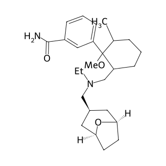 CCN(CC1CCCC(C)C1(OC)c1cccc(C(N)=O)c1)C[C@H]1C[C@H]2CC[C@@H](C1)O2